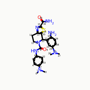 CN(C)c1ccc(NC(=O)N2CCc3nc(C(N)=O)sc3C2c2cc(N(C)C)ccc2N)cc1